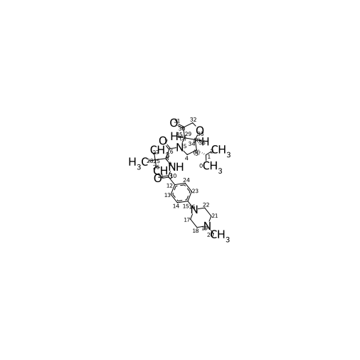 CC(C)[C@@H]1CN(C(=O)C(NC(=O)c2ccc(N3CCN(C)CC3)cc2)C(C)(C)C)[C@@H]2C(=O)CO[C@@H]21